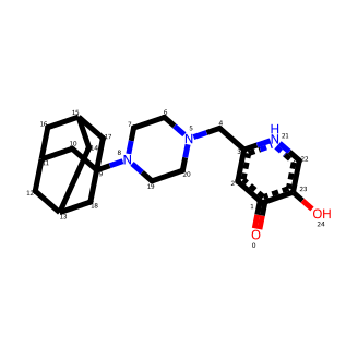 O=c1cc(CN2CCN(C34CC5CC(CC(C5)C3)C4)CC2)[nH]cc1O